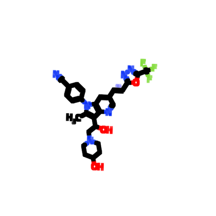 Cc1c(C(O)CN2CCC(O)CC2)c2ncc(/C=C/c3nnc(C(F)(F)F)o3)cc2n1-c1ccc(C#N)cc1